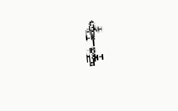 N=C(NCCCNCCCCCCCNCCCNC(=N)NCC1CCCCCC1)NCC1CCCCCC1